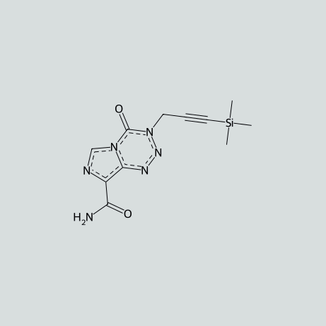 C[Si](C)(C)C#CCn1nnc2c(C(N)=O)ncn2c1=O